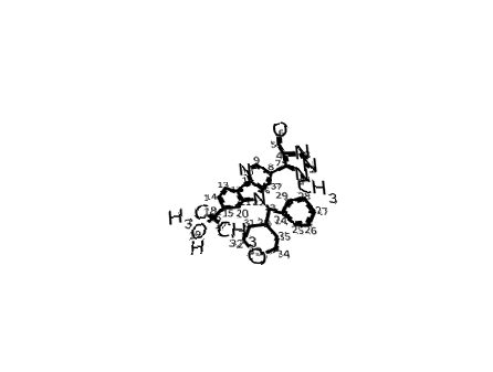 Cn1nnc(C=O)c1-c1cnc2c3ccc(C(C)(C)O)cc3n(C(c3ccccc3)C3CCOCC3)c2c1